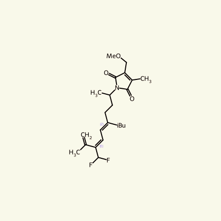 C=C(C)/C(=C\C=C(\CCC(C)N1C(=O)C(C)=C(COC)C1=O)C(C)CC)C(F)F